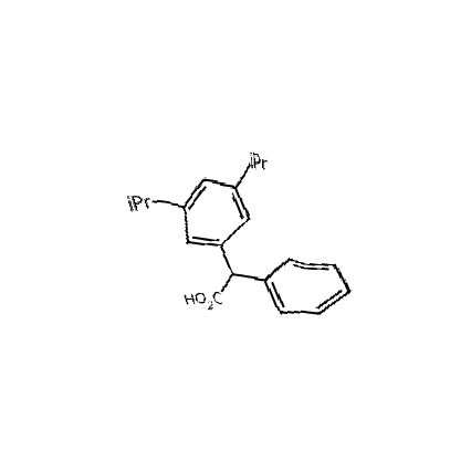 CC(C)c1cc(C(C)C)cc(C(C(=O)O)c2ccccc2)c1